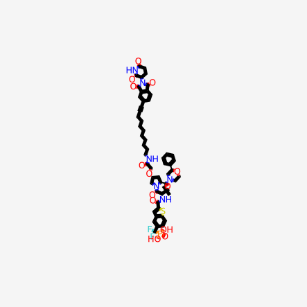 CC(C)(C)[C@H](NC(=O)c1cc2cc(C(F)(F)P(=O)(O)O)ccc2s1)C(=O)N1C[C@@H](OCC(=O)NCCCCCCCCCC#Cc2ccc3c(c2)C(=O)N(C2CCC(=O)NC2=O)C3=O)C[C@H]1C(=O)N1CCO[C@H](c2ccccc2)C1